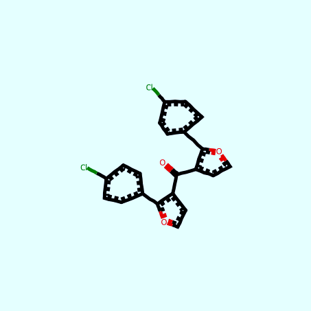 O=C(c1ccoc1-c1ccc(Cl)cc1)c1ccoc1-c1ccc(Cl)cc1